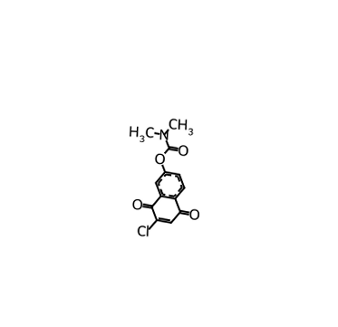 CN(C)C(=O)Oc1ccc2c(c1)C(=O)C(Cl)=CC2=O